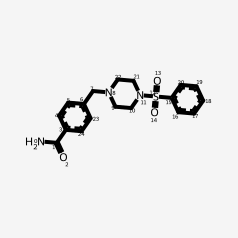 NC(=O)c1ccc(CN2CCN(S(=O)(=O)c3ccccc3)CC2)cc1